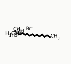 CCCCCCCCCCCCCC[N+](O)(O)C(C)C.[Br-]